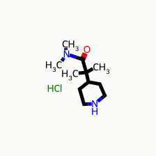 CN(C)C(=O)C(C)(C)C1CCNCC1.Cl